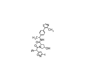 Cc1ncsc1-c1ccc(C(C)NC(=O)C2CC(O)CN2C(=O)C(c2cc(I)no2)C(C)C)cc1